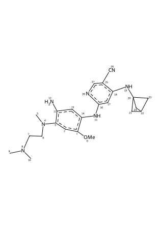 COc1cc(N(C)CCN(C)C)c(N)cc1Nc1cc(NC23CC(C2)C3)c(C#N)cn1